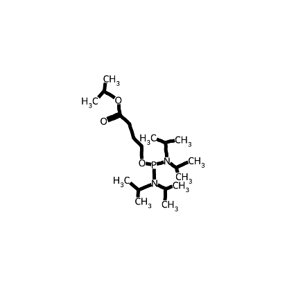 CC(C)OC(=O)CCCOP(N(C(C)C)C(C)C)N(C(C)C)C(C)C